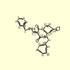 O=C1/C(=C\NCc2ccccc2)C(=O)N(Cc2ccccc2)c2cc(Cl)ccc21